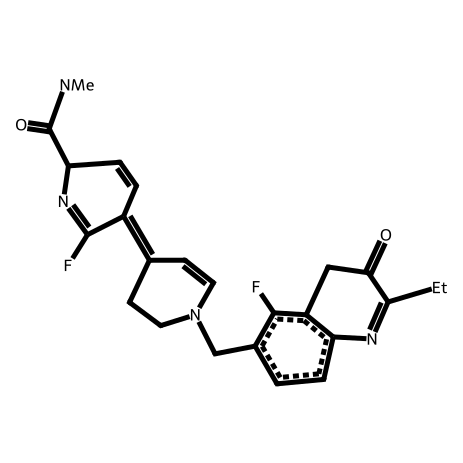 CCC1=Nc2ccc(CN3C=CC(=C4C=CC(C(=O)NC)N=C4F)CC3)c(F)c2CC1=O